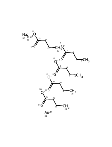 CCCC([O-])=S.CCCC([O-])=S.CCCC([O-])=S.CCCC([O-])=S.CCCC([O-])=S.[Au+3].[Na+].[Na+]